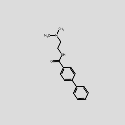 CN(C)CCNC(=O)c1ccc(-c2cc[c]cc2)cc1